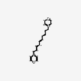 C(CCCCCN1CCOCC1)CCCCN1CCOCC1